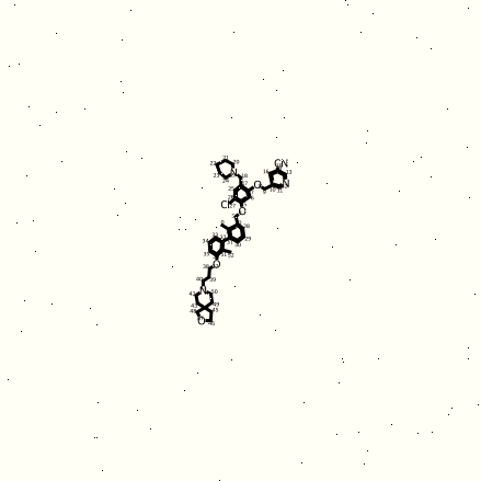 Cc1c(COc2cc(OCc3cncc(C#N)c3)c(CN3CCCCC3)cc2Cl)cccc1-c1cccc(OCCCN2CCC3(CCOC3)CC2)c1C